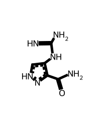 N=C(N)Nc1c[nH]nc1C(N)=O